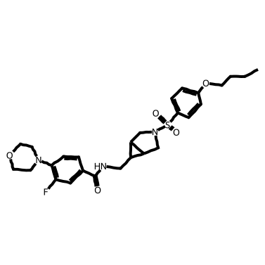 CCCCOc1ccc(S(=O)(=O)N2CC3C(CNC(=O)c4ccc(N5CCOCC5)c(F)c4)C3C2)cc1